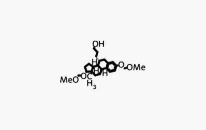 COCOc1ccc2c(c1)C[C@@H](CCCO)[C@@H]1[C@@H]2CC[C@]2(C)[C@@H](OCOC)CC[C@@H]12